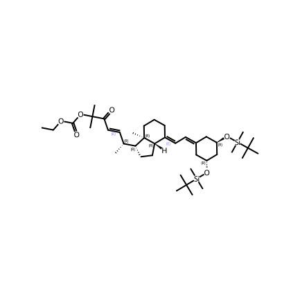 CCOC(=O)OC(C)(C)C(=O)/C=C/[C@@H](C)[C@H]1CC[C@H]2/C(=C/C=C3C[C@@H](O[Si](C)(C)C(C)(C)C)C[C@H](O[Si](C)(C)C(C)(C)C)C3)CCC[C@]12C